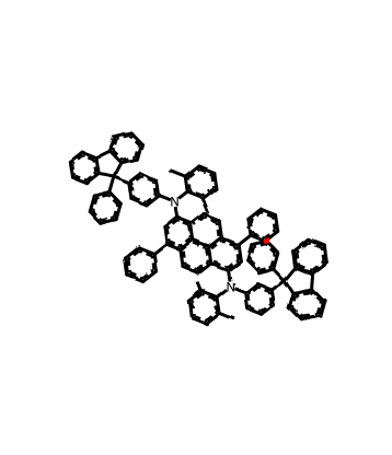 Cc1cccc(C)c1N(c1ccc(C2(c3ccccc3)c3ccccc3-c3ccccc32)cc1)c1cc(-c2ccccc2)c2ccc3c(N(c4cccc(C5(c6ccccc6)c6ccccc6-c6ccccc65)c4)c4c(C)cccc4C)cc(-c4ccccc4)c4ccc1c2c43